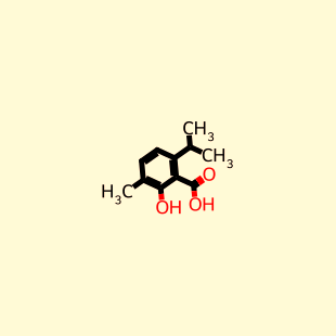 Cc1ccc(C(C)C)c(C(=O)O)c1O